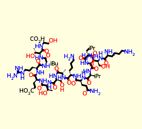 CC[C@H](C)[C@H](NC(=O)[C@H](CCCNC(=N)N)NC(=O)[C@H](CCC(=O)O)NC(=O)[C@@H](NC(=O)[C@H](CO)NC(=O)[C@H](C)NC(=O)[C@H](CCCCN)NC(=O)[C@H](CCC(N)=O)NC(=O)[C@@H](NC(=O)[C@H](CC(N)=O)NC(=O)[C@H](CC(C)C)NC(=O)[C@H](CO)NC(=O)[C@@H](N)CCCCN)C(C)C)[C@@H](C)O)C(=O)N[C@H](C(=O)N[C@@H](CO)C(=O)O)[C@@H](C)O